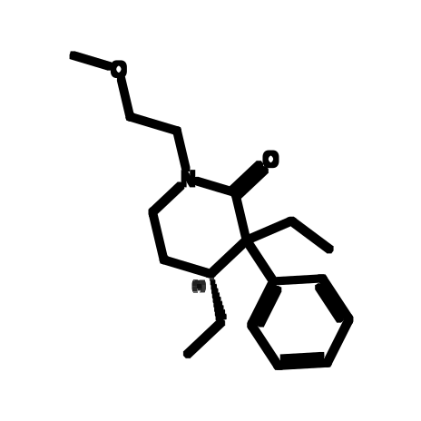 CC[C@@H]1CCN(CCOC)C(=O)C1(CC)c1ccccc1